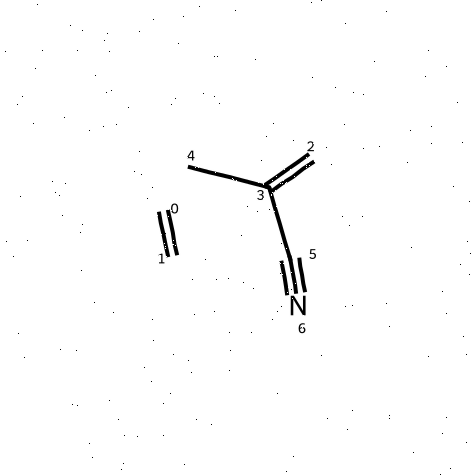 C=C.C=C(C)C#N